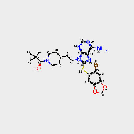 CC1(C(=O)N2CCC(CCn3c(Sc4cc5c(cc4Br)OCO5)nc4c(N)ncnc43)CC2)CC1